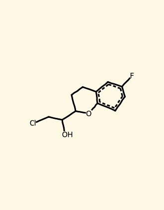 OC(CCl)C1CCc2cc(F)ccc2O1